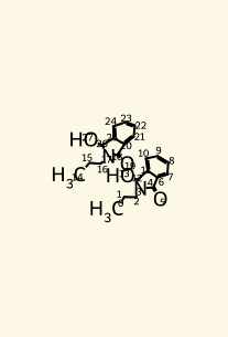 CCCN1C(=O)c2ccccc2C1O.CCCN1C(=O)c2ccccc2C1O